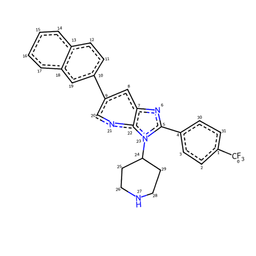 FC(F)(F)c1ccc(-c2nc3cc(-c4ccc5ccccc5c4)cnc3n2C2CCNCC2)cc1